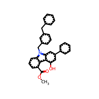 COC(=O)c1cccc2c1c1c(O)cc(-c3ccccc3)cc1n2Cc1cccc(Cc2ccccc2)c1